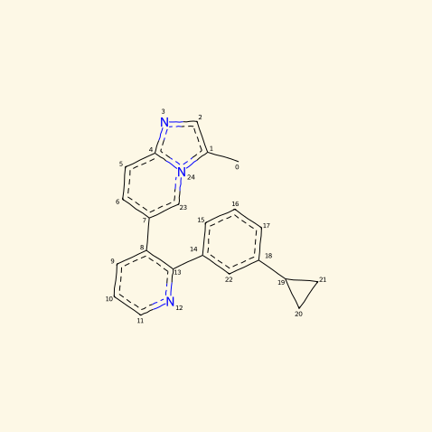 Cc1cnc2ccc(-c3cccnc3-c3cccc(C4CC4)c3)cn12